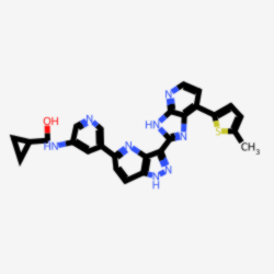 Cc1ccc(-c2ccnc3[nH]c(-c4n[nH]c5ccc(-c6cncc(NC(O)C7CC7)c6)nc45)nc23)s1